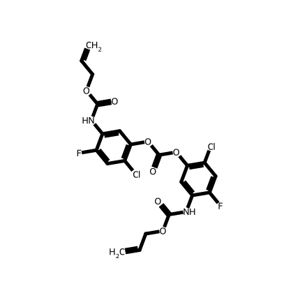 C=CCOC(=O)Nc1cc(OC(=O)Oc2cc(NC(=O)OCC=C)c(F)cc2Cl)c(Cl)cc1F